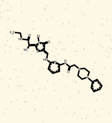 CCn1c(=C(C#N)C(=O)NCC(F)(F)F)sc(=CNc2cccc(NC(=O)CN3CCN(c4ccccc4)CC3)n2)c1=O